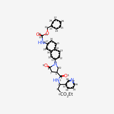 CCOC(=O)CC(NC(=O)C1CC(=O)N(c2ccc3ccc(NC(=O)OCc4ccccc4)cc3c2)C1)c1cccnc1